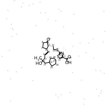 CC(O)(CC=C[C@H]1CCC(=O)[C@@H]1CCSc1nc(C(=O)O)cs1)CC1CCCCC1